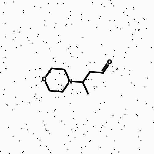 CC(CC=O)N1CCOCC1